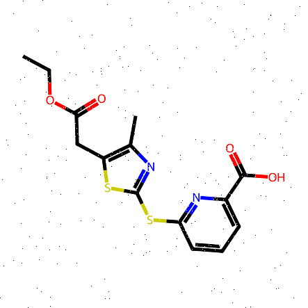 CCOC(=O)Cc1sc(Sc2cccc(C(=O)O)n2)nc1C